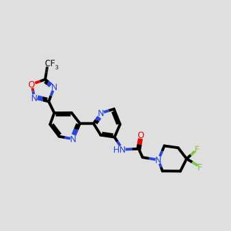 O=C(CN1CCC(F)(F)CC1)Nc1ccnc(-c2cc(-c3noc(C(F)(F)F)n3)ccn2)c1